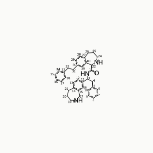 O=C(NC(Cc1ccccc1)c1ccc2c(c1)CNCCC2)C1NCCCc2ccc([CH]Cc3ccccc3)cc21